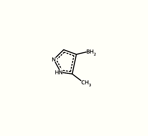 Bc1cn[nH]c1C